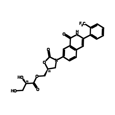 O=C(OC[C@@H]1CN(c2ccc3cc(-c4ccccc4C(F)(F)F)[nH]c(=O)c3c2)C(=O)O1)[C@H](O)CO